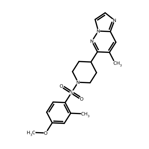 COc1ccc(S(=O)(=O)N2CCC(c3nn4ccnc4cc3C)CC2)c(C)c1